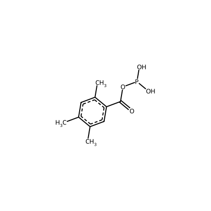 Cc1cc(C)c(C(=O)OP(O)O)cc1C